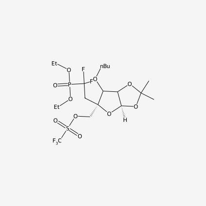 CCCCOC1C2OC(C)(C)O[C@H]2O[C@@]1(COS(=O)(=O)C(F)(F)F)CC(F)(F)P(=O)(OCC)OCC